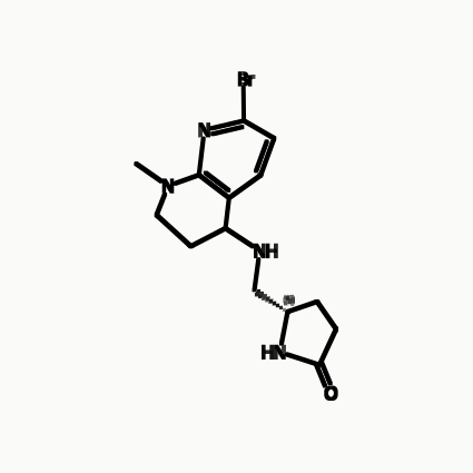 CN1CCC(NC[C@@H]2CCC(=O)N2)c2ccc(Br)nc21